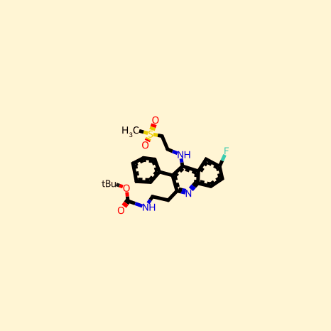 CC(C)(C)OC(=O)NCCc1nc2ccc(F)cc2c(NCCS(C)(=O)=O)c1-c1ccccc1